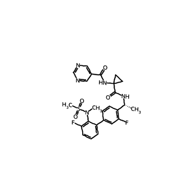 C[C@@H](NC(=O)C1(NC(=O)c2cncnc2)CC1)c1ccc(-c2cccc(F)c2N(C)S(C)(=O)=O)cc1F